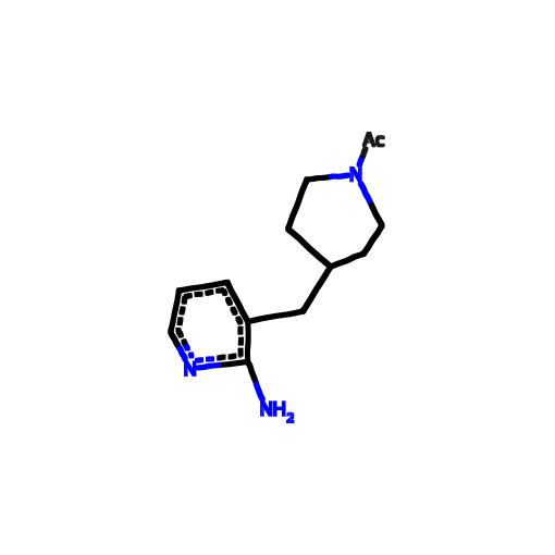 CC(=O)N1CCC(Cc2cccnc2N)CC1